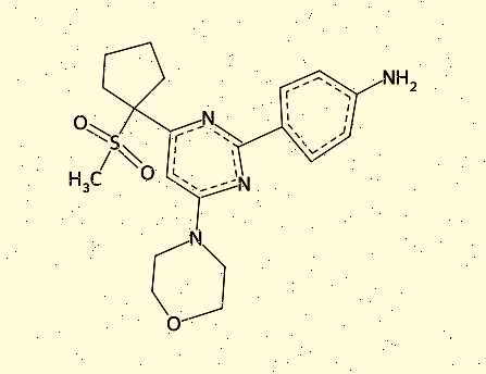 CS(=O)(=O)C1(c2cc(N3CCOCC3)nc(-c3ccc(N)cc3)n2)CCCC1